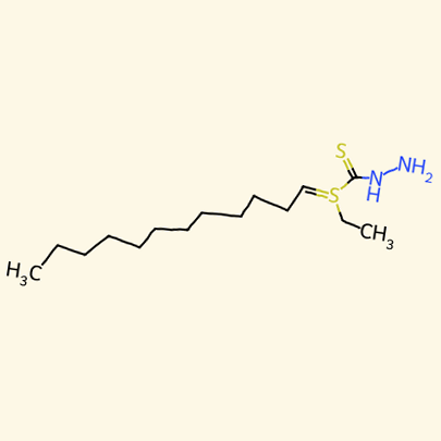 CCCCCCCCCCC/C=S(\CC)C(=S)NN